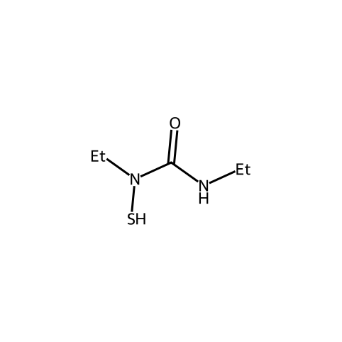 CCNC(=O)N(S)CC